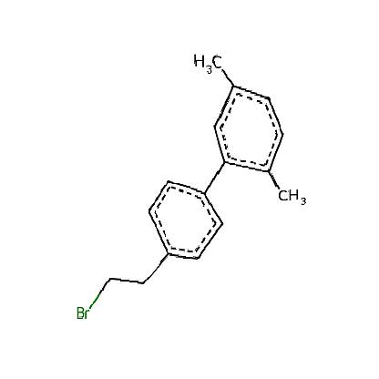 Cc1ccc(C)c(-c2ccc(CCBr)cc2)c1